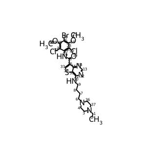 CCN1CCN(CCCCNc2ncnc3c(C(=O)Nc4c(Cl)c(OC)c(Br)c(OC)c4Cl)csc23)CC1